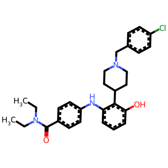 CCN(CC)C(=O)c1ccc(Nc2cccc(O)c2C2CCN(Cc3ccc(Cl)cc3)CC2)cc1